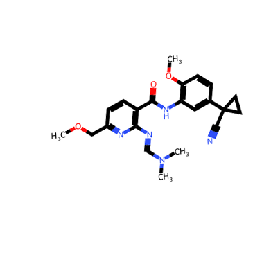 COCc1ccc(C(=O)Nc2cc(C3(C#N)CC3)ccc2OC)c(N=CN(C)C)n1